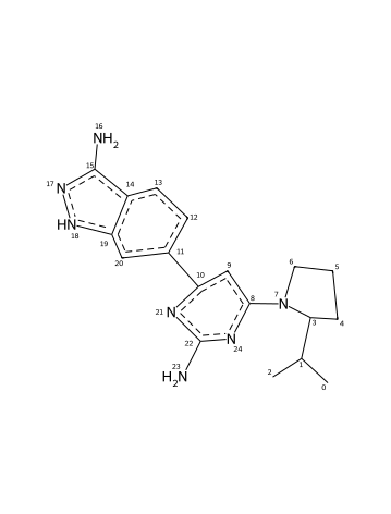 CC(C)C1CCCN1c1cc(-c2ccc3c(N)n[nH]c3c2)nc(N)n1